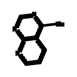 CC(C)(C)c1ncnc2ncccc12